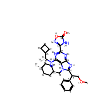 COCC(c1ccccc1)c1nc2nc(-c3noc(=O)[nH]3)nc(N[C@H](C)C3CCC3)c2n1C[C@H]1CC[C@H](C)CC1